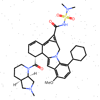 COc1ccc(C2CCCCC2)c2c1cc1n2CC2=C(C(=O)NS(=O)(=O)N(C)C)C2=C2C=CC[C@@H](C(=O)N3CCC[C@@H]4CN(C)C[C@@H]43)C21